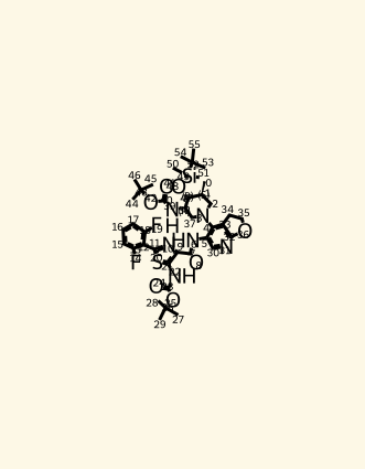 C[C@H]1CN(c2c(NC(=O)c3nc(-c4c(F)cccc4F)sc3NC(=O)OC(C)(C)C)cnc3c2CCO3)C[C@@H](NC(=O)OC(C)(C)C)[C@@H]1O[Si](C)(C)C(C)(C)C